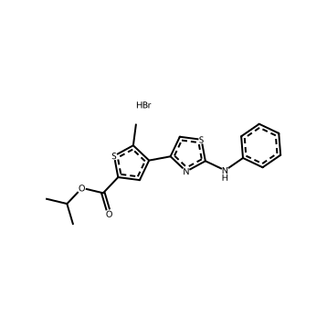 Br.Cc1sc(C(=O)OC(C)C)cc1-c1csc(Nc2ccccc2)n1